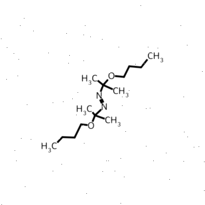 CCCCOC(C)(C)N=NC(C)(C)OCCCC